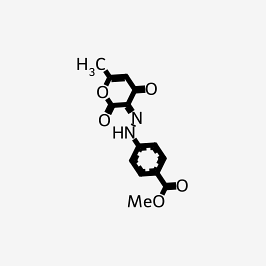 COC(=O)c1ccc(NN=C2C(=O)C=C(C)OC2=O)cc1